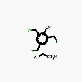 CC(=O)CC(=O)O.N#Cc1c(CF)cc(CF)cc1CF